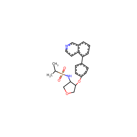 CC(C)S(=O)(=O)NC1COCC1Oc1ccc(-c2cccc3cnccc23)cc1